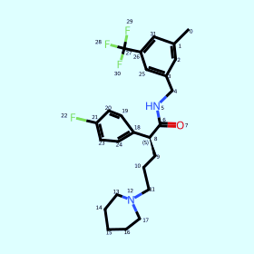 Cc1cc(CNC(=O)[C@@H](CCCN2CCCCC2)c2ccc(F)cc2)cc(C(F)(F)F)c1